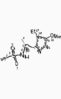 CCCS(=O)(=O)N[C@H](C)c1nnc(OC)n1CC